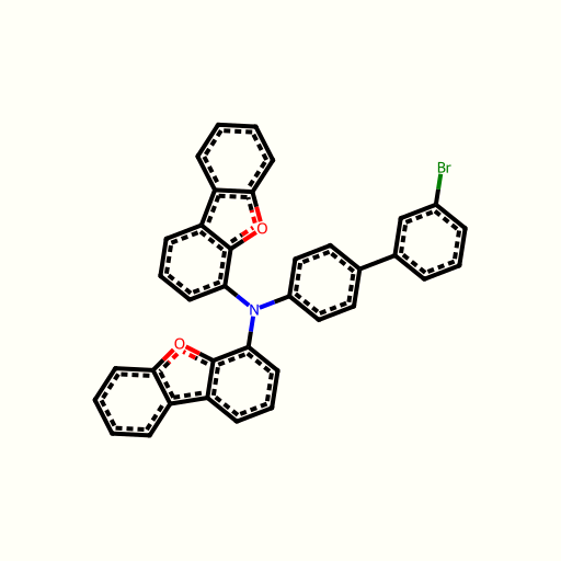 Brc1cccc(-c2ccc(N(c3cccc4c3oc3ccccc34)c3cccc4c3oc3ccccc34)cc2)c1